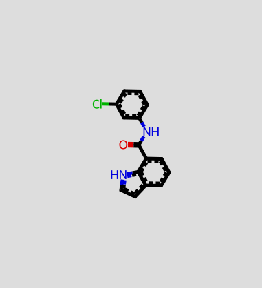 O=C(Nc1cccc(Cl)c1)c1cccc2cc[nH]c12